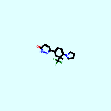 CC1(C(F)(F)F)CC(c2ccc(=O)[nH]n2)=CC=C1N1CCCC1